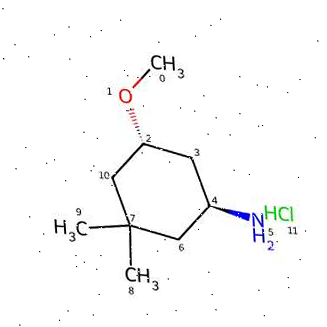 CO[C@@H]1C[C@@H](N)CC(C)(C)C1.Cl